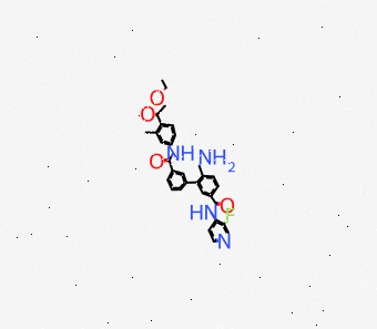 CCOCC(=O)c1ccc(NC(=O)c2cccc(-c3cc(C(=O)Nc4ccncc4F)ccc3CN)c2)cc1C